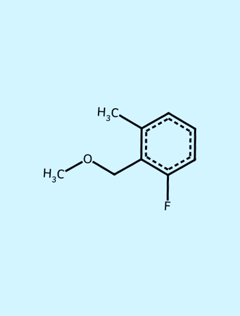 COCc1c(C)cccc1F